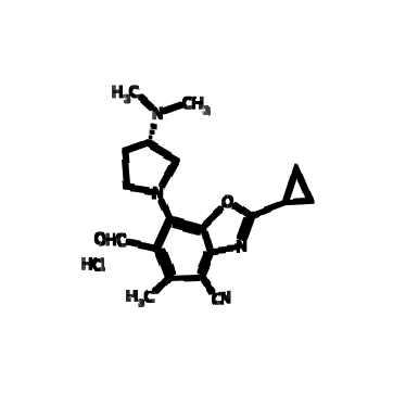 Cc1c(C=O)c(N2CC[C@H](N(C)C)C2)c2oc(C3CC3)nc2c1C#N.Cl